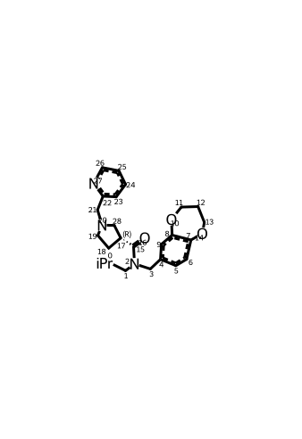 CC(C)CN(Cc1ccc2c(c1)OCCCO2)C(=O)[C@@H]1CCN(Cc2ccccn2)C1